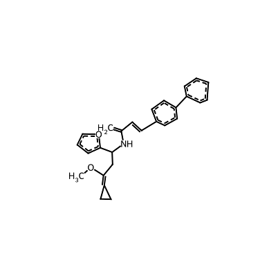 C=C(/C=C/c1ccc(-c2ccccc2)cc1)NC(CC(OC)=C1CC1)c1ccco1